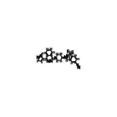 Cn1nccc1-c1nnc(N2CCC(NCc3cc(C#N)ccc3C(F)(F)F)CC2)c2ccccc12